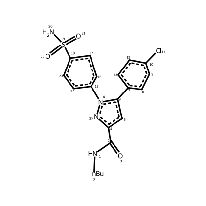 CCCCNC(=O)c1cc(-c2ccc(Cl)cc2)n(-c2ccc(S(N)(=O)=O)cc2)n1